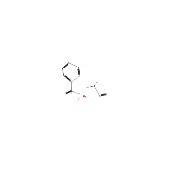 C=CC(C)OP(=O)(O)C(=C)c1ccccc1